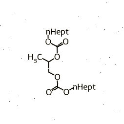 CCCCCCCOC(=O)OCC(C)OC(=O)OCCCCCCC